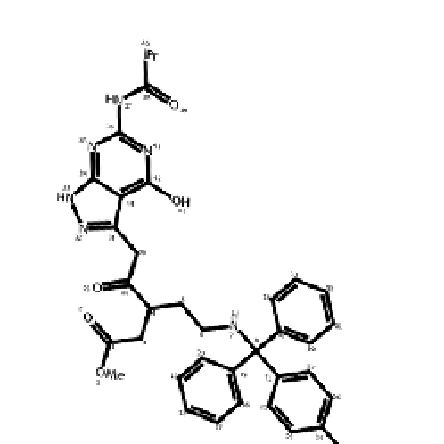 COC(=O)CC(CCNC(c1ccccc1)(c1ccccc1)c1ccc(OC)cc1)C(=O)Cc1n[nH]c2nc(NC(=O)C(C)C)nc(O)c12